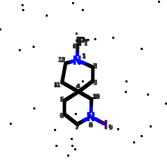 CC(C)N1CCC2(CCCN(I)C2)CC1